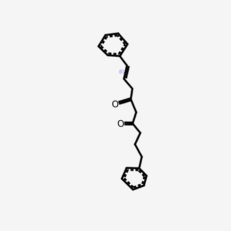 O=C(C/C=C/c1ccccc1)CC(=O)CCCc1ccccc1